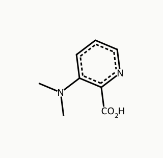 CN(C)c1cccnc1C(=O)O